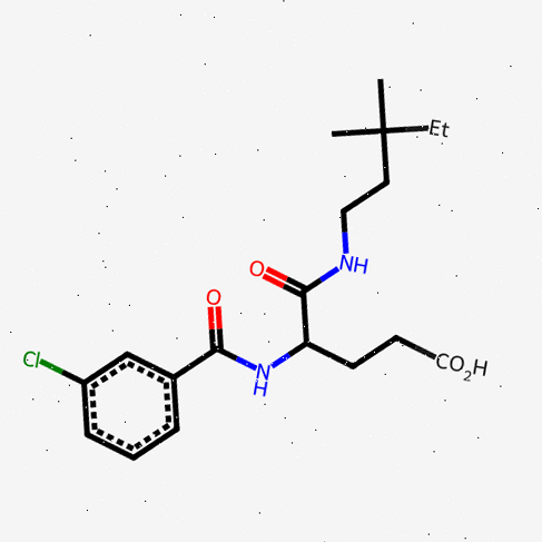 CCC(C)(C)CCNC(=O)C(CCC(=O)O)NC(=O)c1cccc(Cl)c1